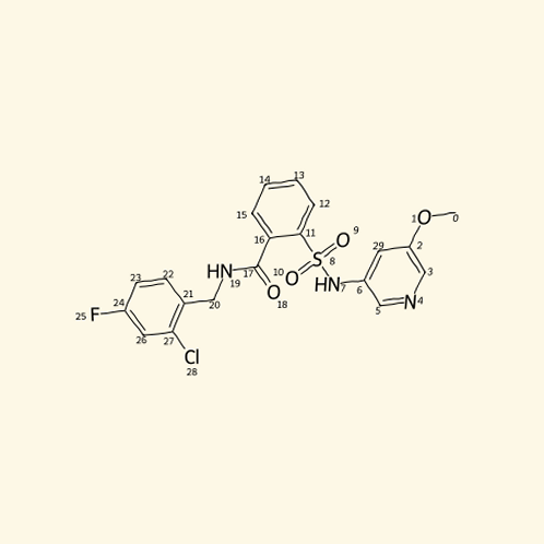 COc1cncc(NS(=O)(=O)c2ccccc2C(=O)NCc2ccc(F)cc2Cl)c1